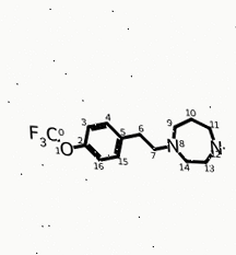 FC(F)(F)Oc1ccc(CCN2CCC[N]CC2)cc1